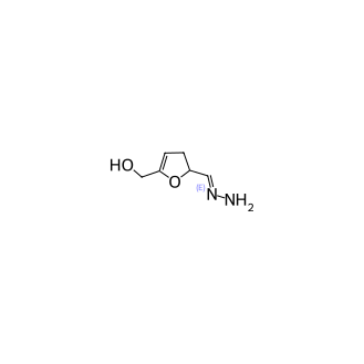 N/N=C/C1CC=C(CO)O1